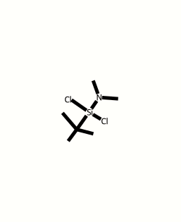 CN(C)[Si](Cl)(Cl)C(C)(C)C